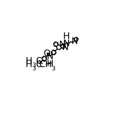 CC(C)(C)c1ccc(C(=O)Nc2ccc(C3Cc4cnc(NCCCN5CCCC5)nc4-c4ccccc43)cc2)cc1